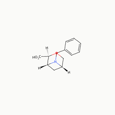 O=C(O)[C@H]1OC[C@@H]2C[C@H]1N2Cc1ccccc1